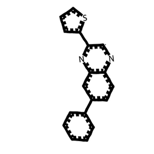 [c]1nc2ccc(-c3ccccc3)cc2nc1-c1cccs1